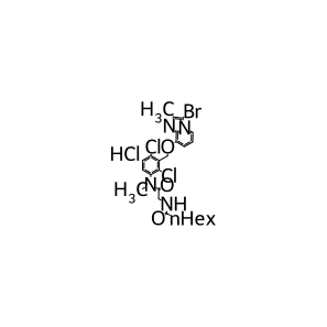 CCCCCCC(=O)NCC(=O)N(C)c1ccc(Cl)c(COc2cccn3c(Br)c(C)nc23)c1Cl.Cl